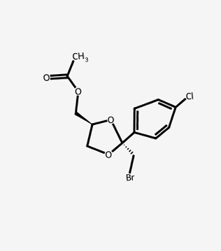 CC(=O)OC[C@@H]1CO[C@](CBr)(c2ccc(Cl)cc2)O1